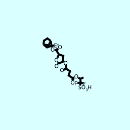 CCC1(OC(=O)C2CC(OC(=O)CCC(=O)OC(C)C(F)(F)S(=O)(=O)O)C(=O)O2)CC2CCC1C2